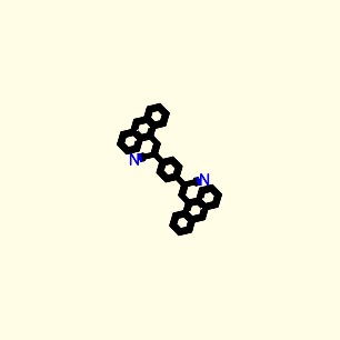 N#CC(=Cc1c2ccccc2cc2ccccc12)c1ccc(C(C#N)=Cc2c3ccccc3cc3ccccc23)cc1